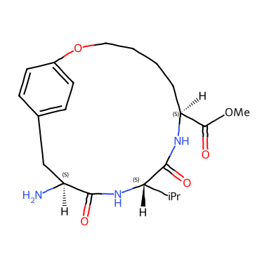 COC(=O)[C@@H]1CCCCOc2ccc(cc2)C[C@H](N)C(=O)N[C@@H](C(C)C)C(=O)N1